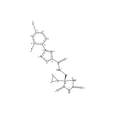 O=C1NC(=O)[C@](CNC(=O)c2cnn(-c3ccc(F)cc3F)n2)(C2CC2)N1